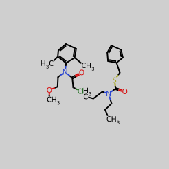 CCCN(CCC)C(=O)SCc1ccccc1.COCCN(C(=O)CCl)c1c(C)cccc1C